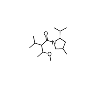 COC(C)C(C(=O)N1CC(C)C[C@H]1C(C)C)C(C)C